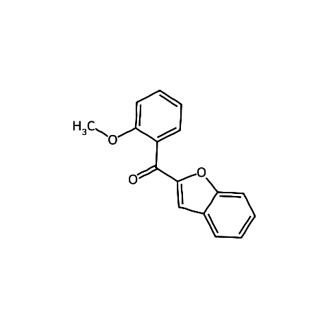 COc1ccccc1C(=O)c1cc2ccccc2o1